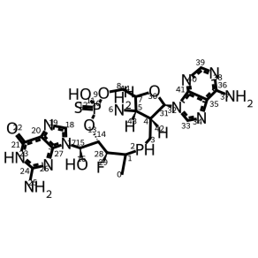 CC1PC[C@@H]2[C@H](N)[C@@H](COP(O)(=S)O[C@@H]([C@@H](O)n3cnc4c(=O)[nH]c(N)nc43)[C@@H]1F)O[C@H]2n1cnc2c(N)ncnc21